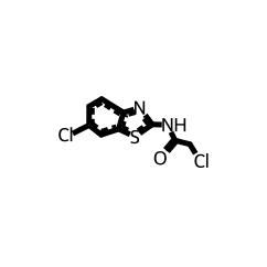 O=C(CCl)Nc1nc2ccc(Cl)cc2s1